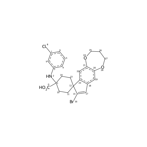 O=C(O)C1(Nc2cccc(Cl)c2)CCC2(CC1)C(Br)=Cc1cc3c(cc12)OCCCO3